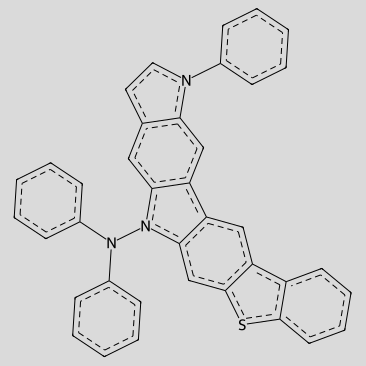 c1ccc(N(c2ccccc2)n2c3cc4ccn(-c5ccccc5)c4cc3c3cc4c(cc32)sc2ccccc24)cc1